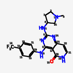 CN1CCC(Nc2nc(Nc3ccc(C(F)(F)F)cc3)c3c(=O)[nH]ccc3n2)C1